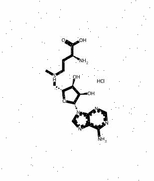 C[SH](CC[C@H](N)C(=O)O)C[C@H]1O[C@@H](n2cnc3c(N)ncnc32)[C@H](O)[C@@H]1O.Cl